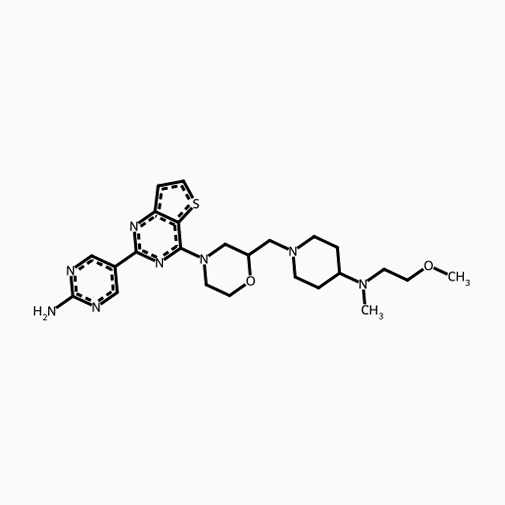 COCCN(C)C1CCN(CC2CN(c3nc(-c4cnc(N)nc4)nc4ccsc34)CCO2)CC1